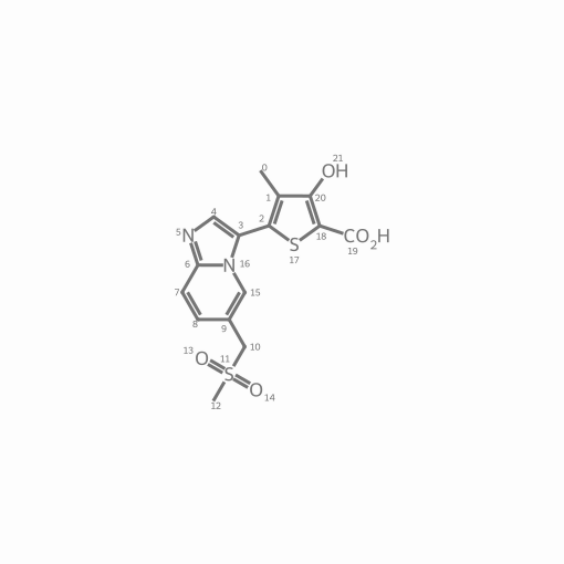 Cc1c(-c2cnc3ccc(CS(C)(=O)=O)cn23)sc(C(=O)O)c1O